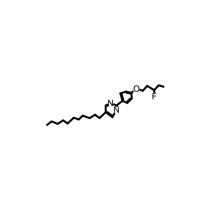 CCCCCCCCCCCc1cnc(-c2ccc(OCCC(F)CC)cc2)nc1